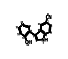 N#Cc1ccc2[nH]cc(-c3cnccc3O)c2c1